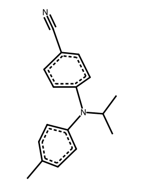 Cc1ccc(N(c2ccc(C#N)cc2)C(C)C)cc1